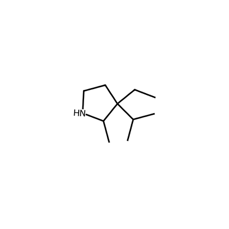 CCC1(C(C)C)CCNC1C